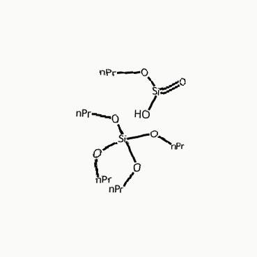 CCCO[Si](=O)O.CCCO[Si](OCCC)(OCCC)OCCC